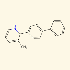 CC1=CC=CNC1c1ccc(-c2ccccc2)cc1